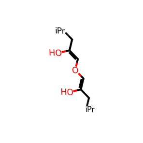 CC(C)CC(O)=COC=C(O)CC(C)C